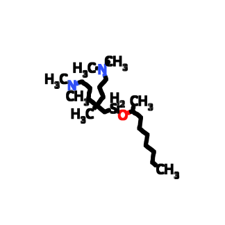 CCCCCCCC(C)O[SiH2]CC(C)(CCCN(C)C)CCCN(C)C